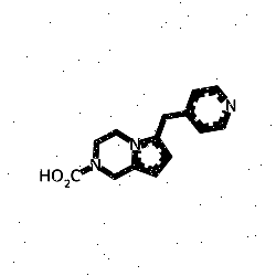 O=C(O)N1CCn2c(Cc3ccncc3)ccc2C1